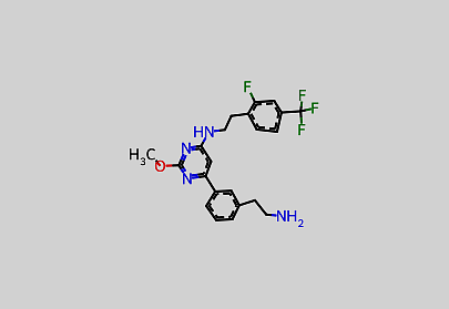 COc1nc(NCCc2ccc(C(F)(F)F)cc2F)cc(-c2cccc(CCN)c2)n1